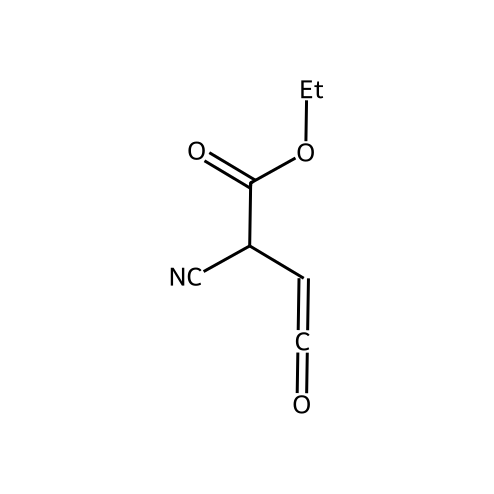 CCOC(=O)C(C#N)C=C=O